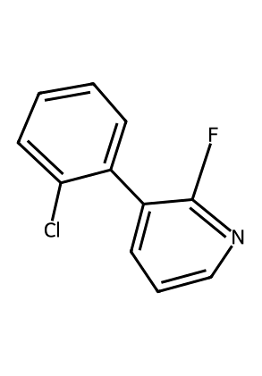 Fc1ncccc1-c1ccccc1Cl